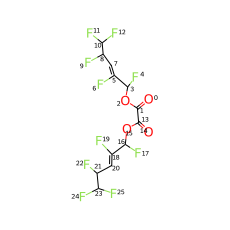 O=C(OC(F)C(F)=CC(F)C(F)F)C(=O)OC(F)C(F)=CC(F)C(F)F